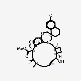 COC(=O)[C@]1(CC(=O)O)CC(=O)N(C)CC/C=C/C(O)[C@@H]2CC[C@H]2CN2C[C@@]3(CCCc4cc(Cl)ccc43)COc3ccc1cc32